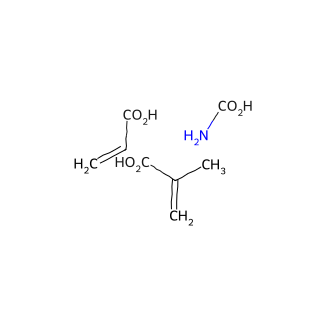 C=C(C)C(=O)O.C=CC(=O)O.NC(=O)O